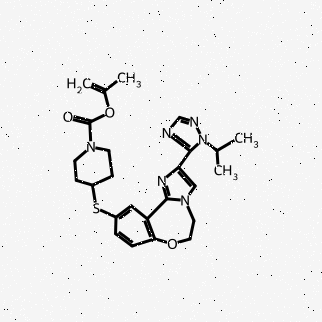 C=C(C)OC(=O)N1CCC(Sc2ccc3c(c2)-c2nc(-c4ncnn4C(C)C)cn2CCO3)CC1